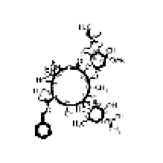 C=CS(=O)(=O)O[C@H]1[C@H](C)O[C@@H](O[C@H]2[C@H](C)[C@@H](O[C@@H]3O[C@H](C)C[C@H](N(C)C)[C@H]3O)[C@](C)(O)C[C@@H](C)CN(C(=O)OCc3ccccc3)[C@H](C)[C@@H](O)[C@](C)(O)[C@@H](CC)OC(=O)[C@@H]2C)C[C@@]1(C)OC